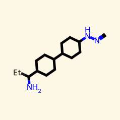 C=NNC1CCC(C2CCC(C(N)CC)CC2)CC1